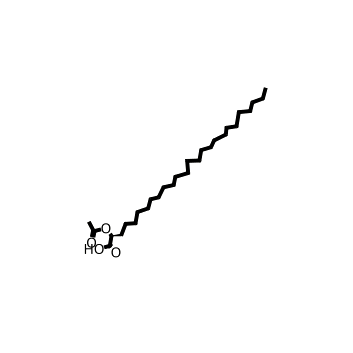 CCCCCCCCCCCCCCCCCCCCCCCC[C@H](OC(C)=O)C(=O)O